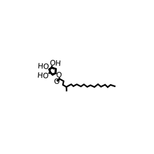 CCCCCCCCCCCCCCC(C)CCC(=O)Oc1cc(O)c(O)c(O)c1